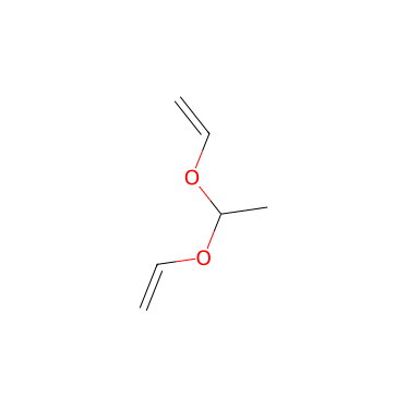 C=COC(C)OC=C